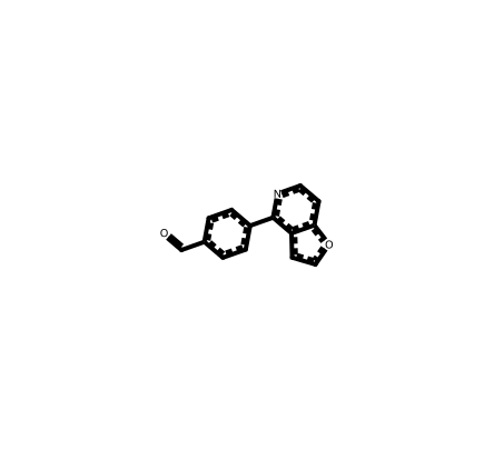 O=Cc1ccc(-c2nccc3occc23)cc1